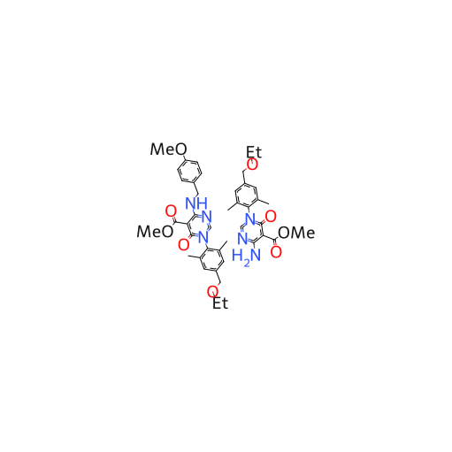 CCOCc1cc(C)c(-n2cnc(N)c(C(=O)OC)c2=O)c(C)c1.CCOCc1cc(C)c(-n2cnc(NCc3ccc(OC)cc3)c(C(=O)OC)c2=O)c(C)c1